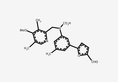 COc1c(C)cnc(CN(C(=O)O)c2cc(C)cc(-c3ccc(C=O)o3)c2)c1C